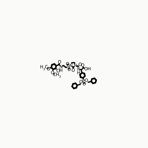 COc1ccc(C(=O)NCCS(=O)(=O)N2CCN(C(=O)NC(C(=O)O)c3ccc(P(=O)(OCc4ccccc4)OCc4ccccc4)cc3)C2=O)c(Cl)c1OC